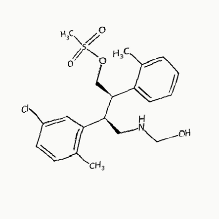 Cc1ccc(Cl)cc1[C@H](CNCO)[C@@H](COS(C)(=O)=O)c1ccccc1C